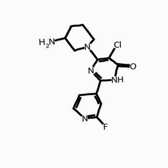 NC1CCCN(c2nc(-c3ccnc(F)c3)[nH]c(=O)c2Cl)C1